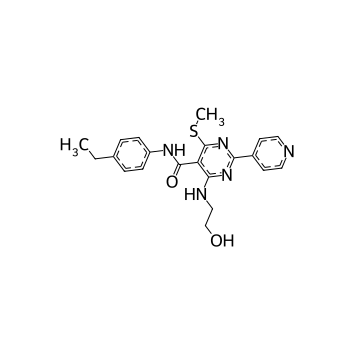 CCc1ccc(NC(=O)c2c(NCCO)nc(-c3ccncc3)nc2SC)cc1